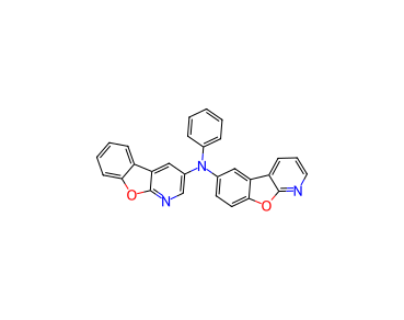 c1ccc(N(c2ccc3oc4ncccc4c3c2)c2cnc3oc4ccccc4c3c2)cc1